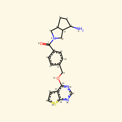 NC1CCC2CN(C(=O)c3ccc(COc4ncnc5sccc45)cc3)CC12